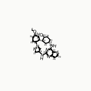 COc1ccc(-n2cc(Nc3nc(N[C@H]4CC[C@H](O)CC4)c4sccc4n3)cn2)cc1